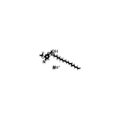 CCCCCCCCCCCCCCCCCCOC[C@H](CO)Oc1ccc(C#N)c(OC(C)C)c1.[H-].[Na+]